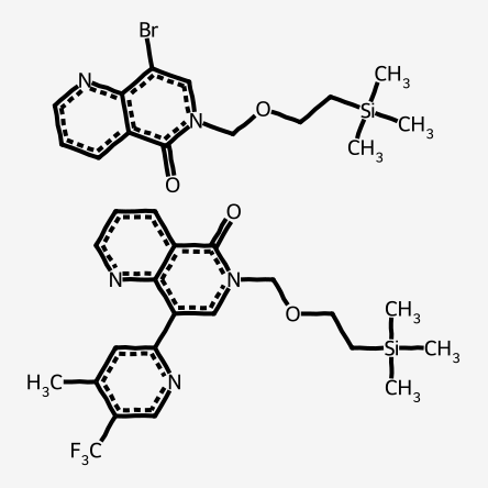 C[Si](C)(C)CCOCn1cc(Br)c2ncccc2c1=O.Cc1cc(-c2cn(COCC[Si](C)(C)C)c(=O)c3cccnc23)ncc1C(F)(F)F